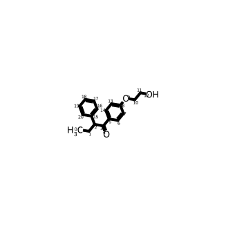 CCC(C(=O)c1ccc(OCCO)cc1)c1ccccc1